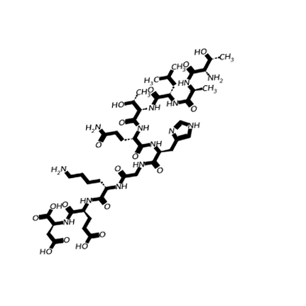 CC(C)C[C@H](NC(=O)[C@H](C)NC(=O)[C@@H](N)[C@@H](C)O)C(=O)N[C@H](C(=O)N[C@@H](CCC(N)=O)C(=O)N[C@@H](Cc1c[nH]cn1)C(=O)NCC(=O)N[C@@H](CCCCN)C(=O)N[C@@H](CCC(=O)O)C(=O)N[C@@H](CC(=O)O)C(=O)O)[C@@H](C)O